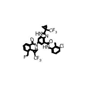 Cc1c(Cl)cccc1NC(=O)c1cc(NC(=O)c2cccc(CF)c2C2CC2C(F)(F)F)cc2[nH]c(C3(C(F)(F)F)CC3)nc12